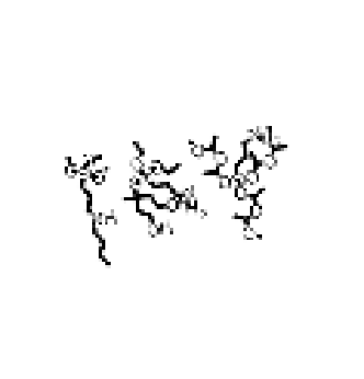 CCCCNCCC[Si](OC)(OC)OC.CCO[Si](CCCN)(OCC)OC(C)(CCO)CCO.COC(C)OC(C)O[Si](CCCN)(OC(C)OC(C)OC)OC(C)OC(C)OC